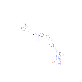 C[C@@H](C(=O)Nc1ccc(OC2CCN(C(=O)c3cccc(N4CCN(c5cccc6c5C(=O)N(C5CCC(=O)NC5=O)C6=O)CC4)c3)CC2)cc1)[C@H]1CC[C@@H](c2ccnc3ccc(F)cc32)CC1